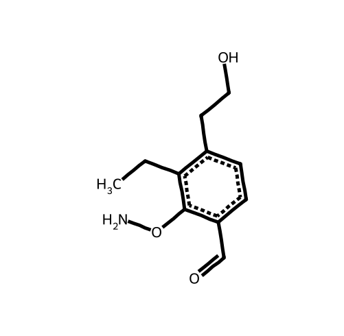 CCc1c(CCO)ccc(C=O)c1ON